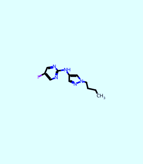 CCCCn1cc(Nc2ncc(I)cn2)cn1